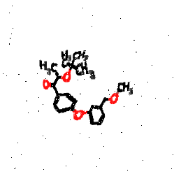 COCc1cccc(Oc2ccc(C(=O)C(C)OC(C)(C)C)cc2)c1